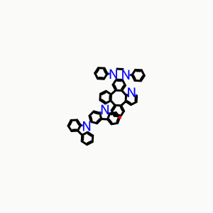 c1ccc(N2CCN(c3ccccc3)c3cc4c(cc32)-c2cccc(-n3c5ccccc5c5cc(-n6c7ccccc7c7ccccc76)ccc53)c2-c2ccccc2-c2cccnc2-4)cc1